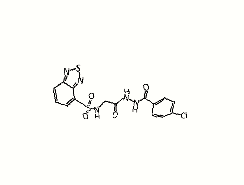 O=C(CNS(=O)(=O)c1cccc2nsnc12)NNC(=O)c1ccc(Cl)cc1